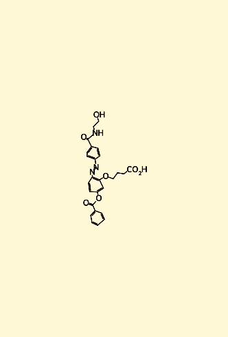 O=C(O)CCCOc1cc(OC(=O)c2ccccc2)ccc1/N=N/c1ccc(C(=O)NCCO)cc1